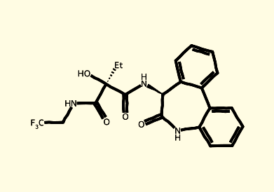 CC[C@@](O)(C(=O)NCC(F)(F)F)C(=O)N[C@@H]1C(=O)Nc2ccccc2-c2ccccc21